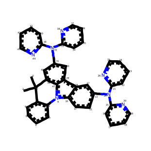 CC1(C)c2ccccc2-n2c3ccc(N(c4ccccn4)c4ccccn4)cc3c3cc(N(c4ccccn4)c4ccccn4)cc1c32